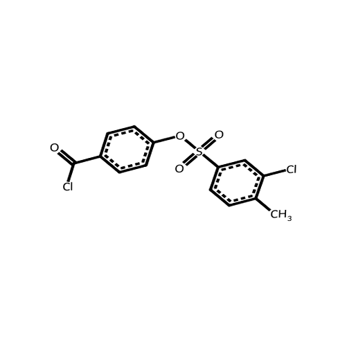 Cc1ccc(S(=O)(=O)Oc2ccc(C(=O)Cl)cc2)cc1Cl